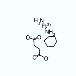 C1CCCCC1.O=C([O-])CCC(=O)[O-].[NH2][Pt+2][NH2]